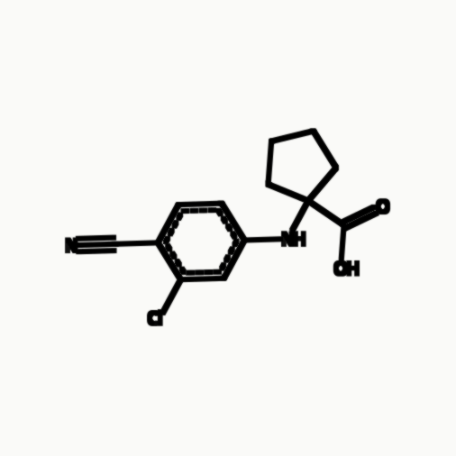 N#Cc1ccc(NC2(C(=O)O)CCCC2)cc1Cl